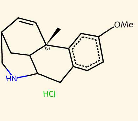 COc1ccc2c(c1)[C@@]1(C)C=CC3CNC(C2)C1C3.Cl